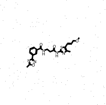 COC/C=C/c1sc(NC(=O)CCNC(=O)c2cccc(-c3noc(C)n3)c2)nc1C